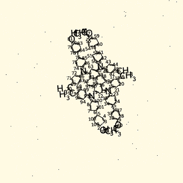 COc1ccc(-c2ccc(N(C3=CC(N(c4ccc(C)cc4)c4ccc(-c5ccc(OC)cc5)cc4)=C4C=Cc5c(N(c6ccc(C)cc6)c6ccc(-c7ccc(OC)cc7)cc6)cc(N(c6ccc(C)cc6)c6ccc(-c7ccc(OC)cc7)cc6)c6c5C4C3=CC6)c3ccc(C)cc3)cc2)cc1